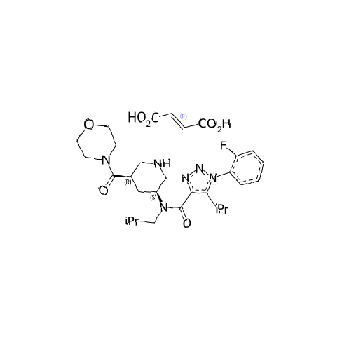 CC(C)CN(C(=O)c1nnn(-c2ccccc2F)c1C(C)C)[C@@H]1CNC[C@H](C(=O)N2CCOCC2)C1.O=C(O)/C=C/C(=O)O